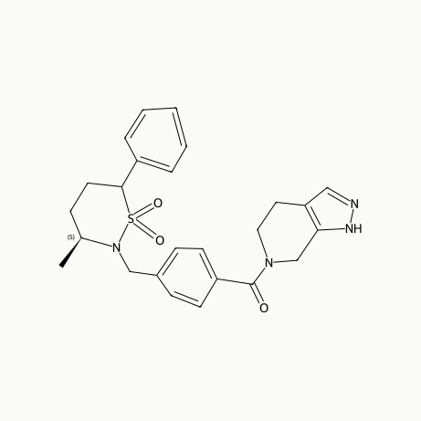 C[C@H]1CCC(c2ccccc2)S(=O)(=O)N1Cc1ccc(C(=O)N2CCc3cn[nH]c3C2)cc1